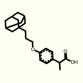 CC(C(=O)O)c1ccc(OCCCC23CC4CC(CC(C4)C2)C3)cc1